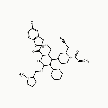 C=CC(=O)N1CCN(C2C3CC[C@]4(Cc5cc(Cl)ccc5O4)C(=O)C3NC(OCC3CCCN3C)N2C2CCCCC2)CC1CC#N